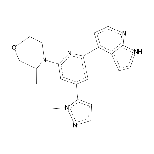 CC1COCCN1c1cc(-c2ccnn2C)cc(-c2ccnc3[nH]ccc23)n1